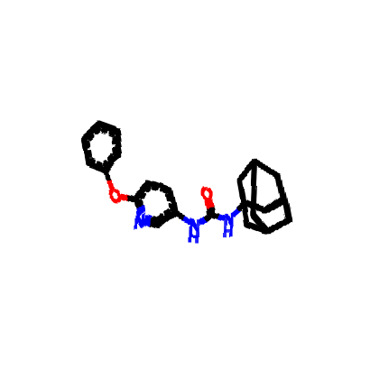 O=C(Nc1ccc(Oc2ccccc2)nc1)NC12CC3CC(CC(C3)C1)C2